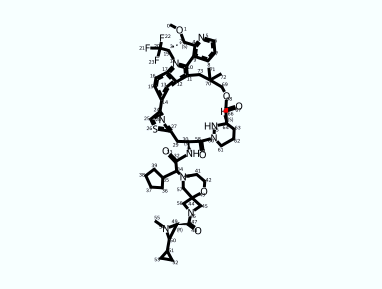 CO[C@@H](C)c1ncccc1-c1c2c3cc(ccc3n1CC(F)(F)F)-c1csc(n1)C[C@H](NC(=O)C(C1CCCC1)N1CCOC3(CN(C(=O)[C@H]4C(C5CC5)N4C)C3)C1)C(=O)N1CCC[C@H](N1)C(=O)OCC(C)(C)C2